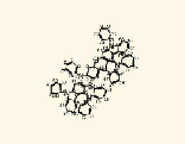 c1ccc(N2c3cc4c(cc3B3c5ccccc5N(c5ccccc5)c5c3c2cc2c5c3ccccc3n2-c2ccccc2)B2c3ccccc3N(c3ccccc3)c3c2c(cc2c3c3ccccc3n2-c2ccccc2)O4)cc1